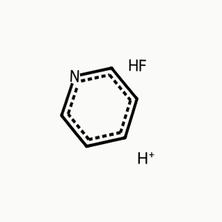 F.[H+].c1ccncc1